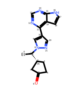 CCC([C@@H]1CCC(=O)C1)n1cc(-c2ncnc3[nH]ccc23)cn1